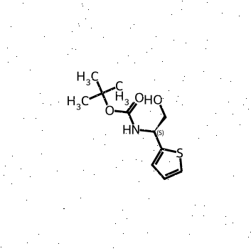 CC(C)(C)OC(=O)N[C@@H](CO)c1cccs1